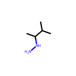 CC(C)C(C)NN